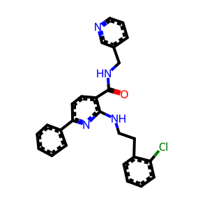 O=C(NCc1cccnc1)c1ccc(-c2ccccc2)nc1NCCc1ccccc1Cl